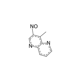 Cc1c(N=O)cnc2cccnc12